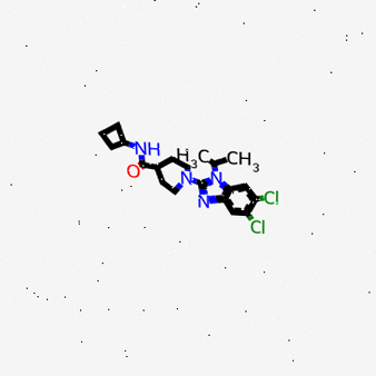 CC(C)n1c(N2CCC(C(=O)NC3CCC3)CC2)nc2cc(Cl)c(Cl)cc21